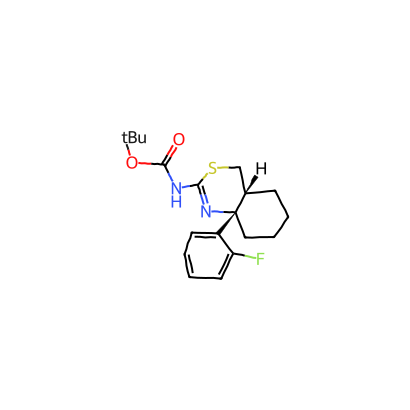 CC(C)(C)OC(=O)NC1=N[C@@]2(c3ccccc3F)CCCC[C@H]2CS1